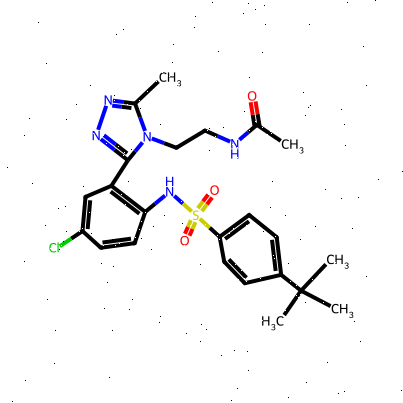 CC(=O)NCCn1c(C)nnc1-c1cc(Cl)ccc1NS(=O)(=O)c1ccc(C(C)(C)C)cc1